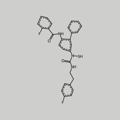 O=C(Nc1ccc(N(S)C(=O)NCCc2ccc(F)cc2)cc1-c1ccccc1)c1ccccc1F